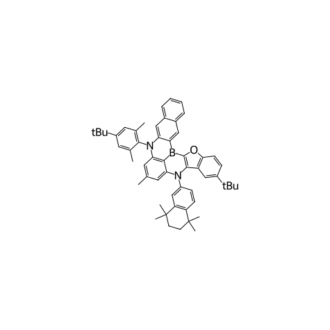 Cc1cc2c3c(c1)N(c1ccc4c(c1)C(C)(C)CCC4(C)C)c1c(oc4ccc(C(C)(C)C)cc14)B3c1cc3ccccc3cc1N2c1c(C)cc(C(C)(C)C)cc1C